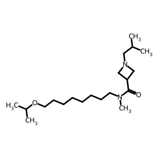 CC(C)CN1CC(C(=O)N(C)CCCCCCCCOC(C)C)C1